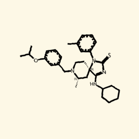 Cc1cccc(N2C(=S)N=C(NC3CCCCC3)[C@]23CCN(Cc2cccc(OC(C)C)c2)[C@@H](C)C3)c1